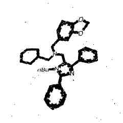 CCCCn1c(-c2ccccc2)nc(-c2ccccc2)c1CN(Cc1ccc2c(c1)OCO2)CC1CCCCC1